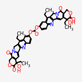 CCc1c2c(nc3ccc(OC(=O)Oc4ccc5nc6c(c(CC)c5c4)Cn4c-6cc5c(c4=O)COC(=O)C5(O)CC)cc13)-c1cc3c(c(=O)n1C2)COC(=O)C3(O)CC